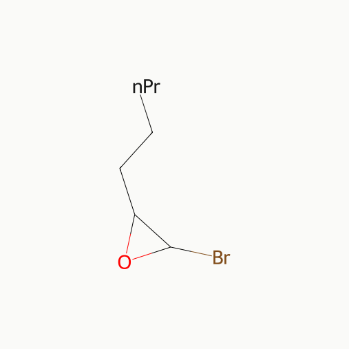 CCCCCC1OC1Br